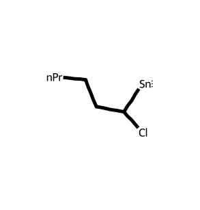 CCCCC[CH](Cl)[Sn]